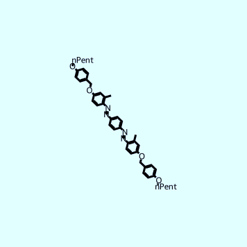 CCCCCOc1ccc(COc2ccc(N=Nc3ccc(N=Nc4ccc(OCc5ccc(OCCCCC)cc5)cc4C)cc3)c(C)c2)cc1